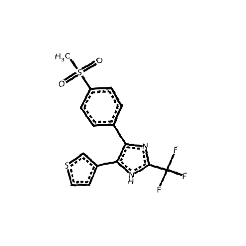 CS(=O)(=O)c1ccc(-c2nc(C(F)(F)F)[nH]c2-c2ccsc2)cc1